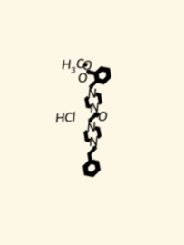 COC(=O)c1ccccc1CN1CCN(C(=O)CN2CCN(CCc3ccccc3)CC2)CC1.Cl